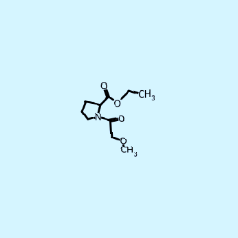 CCOC(=O)C1CCCN1C(=O)COC